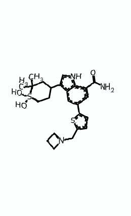 CC1(C)CC(c2c[nH]c3c(C(N)=O)cc(-c4ccc(CN5CCC5)s4)cc23)CCS1(O)O